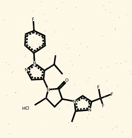 Cc1nc(C(F)(F)F)cn1C1CC(C)N(c2cnn(-c3ccc(F)cc3)c2C(C)C)C1=O.Cl